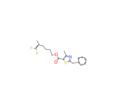 CC(CCCCOC(=O)c1sc(Cc2ccccc2)nc1C)=C(F)F